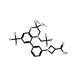 CC1(C)CN(CC(F)(F)F)c2c(cc(C(F)(F)F)cc2-c2cccc(N3CC(C(=O)O)C3)c2)O1